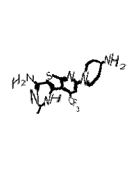 CC1N=C(N)c2sc3nc(N4CCC(N)CC4)cc(C(F)(F)F)c3c2N1